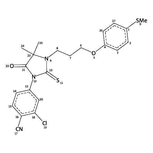 CSc1ccc(OCCCN2C(=S)N(c3ccc(C#N)c(Cl)c3)C(=O)C2(C)C)cc1